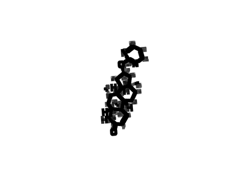 C[C@H]1C[C@H]2NC(=O)C=C[C@]2(C)[C@H]2CC[C@]3(C)C[C@@H](Oc4ncccn4)C[C@H]3[C@H]12